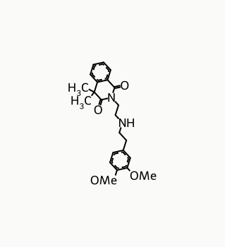 COc1ccc(CCNCCN2C(=O)c3ccccc3C(C)(C)C2=O)cc1OC